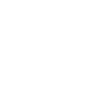 C=CC(=O)O.CO.c1cc2ccc3cccc4ccc(c1)c2c34